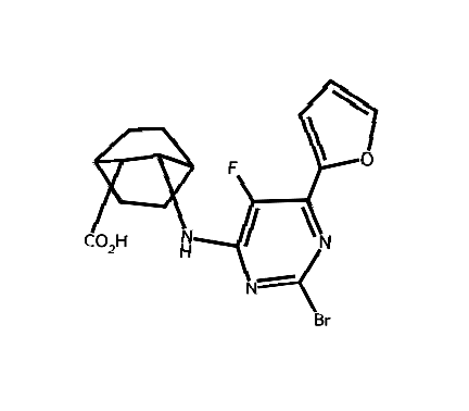 O=C(O)C1C2CCC(CC2)C1Nc1nc(Br)nc(-c2ccco2)c1F